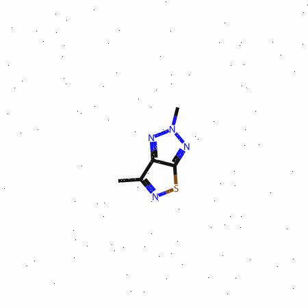 Cc1nsc2nn(C)nc12